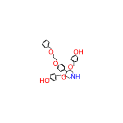 Oc1ccc(CO[C@H]2CNC[C@@H](OCc3ccc(O)cc3)C2c2ccc(OCCCOCc3ccccc3)cc2)cc1